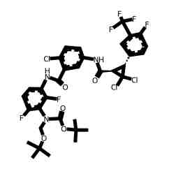 CC(C)(C)OCN(C(=O)OC(C)(C)C)c1c(F)ccc(NC(=O)c2cc(NC(=O)[C@H]3[C@H](c4ccc(F)c(C(F)(F)F)c4)C3(Cl)Cl)ccc2Cl)c1F